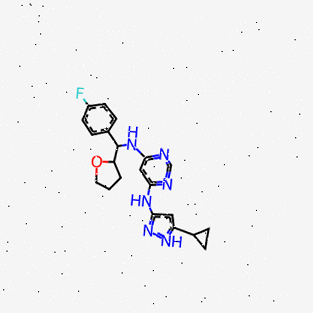 Fc1ccc(C(Nc2cc(Nc3cc(C4CC4)[nH]n3)ncn2)C2CCCO2)cc1